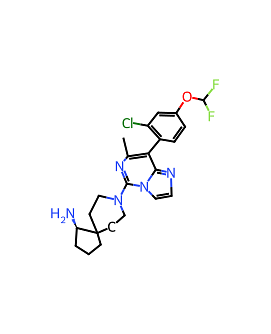 Cc1nc(N2CCC3(CCC[C@H]3N)CC2)n2ccnc2c1-c1ccc(OC(F)F)cc1Cl